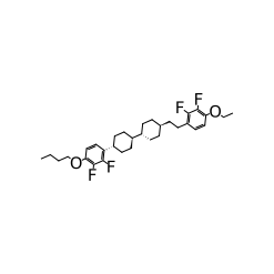 CCCCOc1ccc([C@H]2CC[C@H]([C@H]3CC[C@H](CCc4ccc(OCC)c(F)c4F)CC3)CC2)c(F)c1F